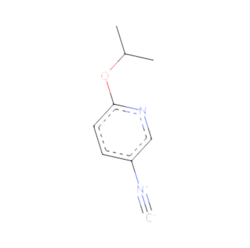 [C-]#[N+]c1ccc(OC(C)C)nc1